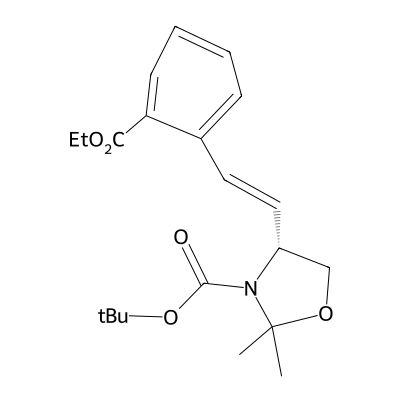 CCOC(=O)c1ccccc1/C=C/[C@@H]1COC(C)(C)N1C(=O)OC(C)(C)C